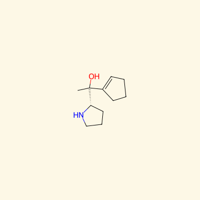 CC(O)(C1=CCCC1)[C@@H]1CCCN1